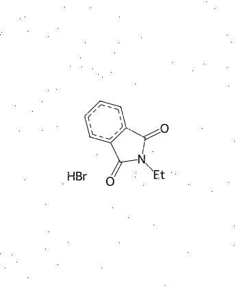 Br.CCN1C(=O)c2ccccc2C1=O